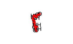 COC(=O)NC(C)C(=O)N1CCC[C@H]1c1ncc(C23CCC(c4ccc(-c5cnc([C@@H]6CCCN6C(=O)[C@H](NC(=O)OC6CCOCC6)C(C)C)[nH]5)cc4)(CC2)CC3)[nH]1